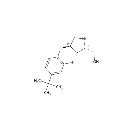 CC(C)(C)c1ccc(O[C@H]2CN[C@H](CO)C2)c(F)c1